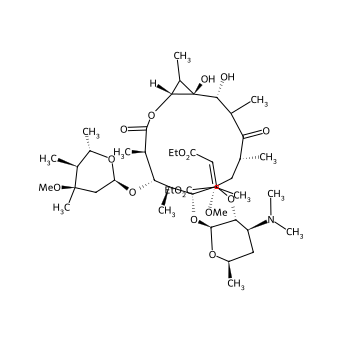 CCOC(=O)/C=C(/O[C@H]1[C@H](O[C@@H]2[C@@H](C)[C@H](O[C@H]3C[C@@](C)(OC)[C@@H](C)[C@H](C)O3)[C@@H](C)C(=O)O[C@@H]3C(C)[C@]3(O)[C@H](O)C(C)C(=O)[C@H](C)C[C@]2(C)OC)O[C@H](C)C[C@@H]1N(C)C)C(=O)OCC